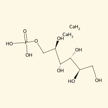 O=P(O)(O)OC[C@@H](O)[C@@H](O)[C@H](O)[C@H](O)CO.[CaH2].[CaH2]